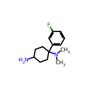 CN(C)C1(c2cccc(F)c2)CCC(N)CC1